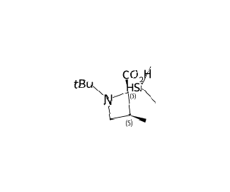 C[C@H]1CN(C(C)(C)C)[C@]1(C(=O)O)[SiH](C)C